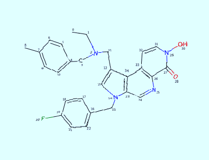 CCN(Cc1ccc(C)cc1)Cc1cn(Cc2ccc(F)cc2)c2cnc3c(=O)n(O)ccc3c12